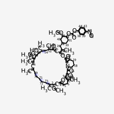 CO[C@H]1C[C@@H]2CC[C@@H](C)[C@@](O)(O2)C(=O)C(=O)N2CCCC[C@H]2C(=O)O[C@H]([C@H](C)C[C@@H]2CC[C@@H](OC(=O)Oc3ccc(N=O)cc3)[C@H](OC)C2)CC(=O)[C@H](C)/C=C(\C)[C@@H](O)[C@@H](OC)C(=O)[C@H](C)C[C@H](C)/C=C/C=C/C=C/1C